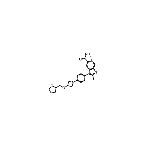 Cc1nc2cnc(C(N)=O)cc2n1-c1ccc(N2CC(OCC3CCCO3)C2)cc1